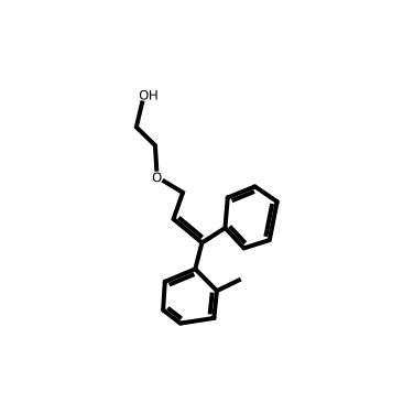 Cc1ccccc1C(=CCOCCO)c1ccccc1